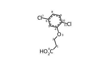 O=C(O)CCOc1cc(Cl)ccc1Cl